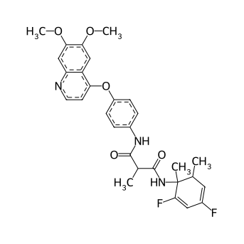 COc1cc2nccc(Oc3ccc(NC(=O)C(C)C(=O)NC4(C)C(F)=CC(F)=CC4C)cc3)c2cc1OC